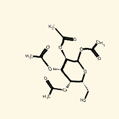 CC(=O)OC1O[C@H](CO)[C@H](OC(C)=O)[C@H](OC(C)=O)[C@H]1OC(C)=O